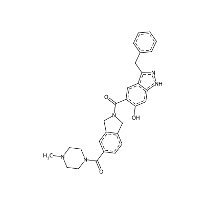 CN1CCN(C(=O)c2ccc3c(c2)CN(C(=O)c2cc4c(Cc5ccccc5)n[nH]c4cc2O)C3)CC1